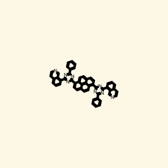 c1ccc(-c2nc(-c3cccc4ccncc34)nc(-c3ccc4ccc5c(-c6nc(-c7ccccc7)nc(-c7cccc8ccncc78)n6)ccc6ccc3c4c65)n2)cc1